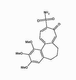 COc1cc2c(c(OC)c1OC)-c1ccc(S(N)(=O)=O)c(=O)cc1CCC2